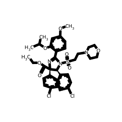 CCOC(=O)[C@]1(c2ccc(Cl)cc2)N=C(c2ccc(OC)cc2OC(C)C)N(S(=O)(=O)CCN2CCOCC2)[C@H]1c1ccc(Cl)cc1